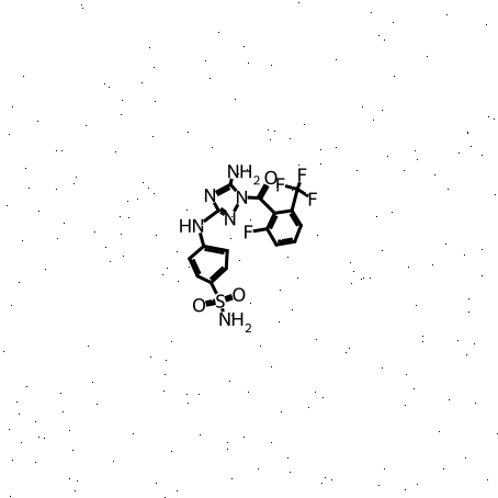 Nc1nc(Nc2ccc(S(N)(=O)=O)cc2)nn1C(=O)c1c(F)cccc1C(F)(F)F